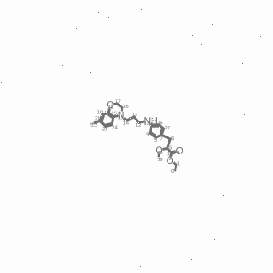 CCOC(=O)C(Cc1ccc(NCCCN2CCOc3cc(F)ccc32)cc1)OC